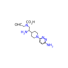 Nc1ccc(N2CCC(C(N)CN(CC=O)C(=O)O)CC2)nn1